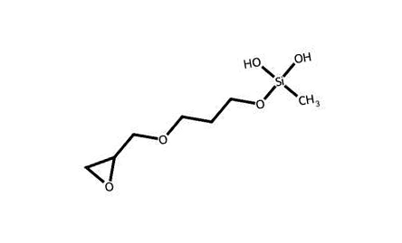 C[Si](O)(O)OCCCOCC1CO1